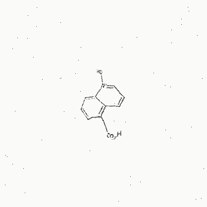 O=C(O)c1cccc2c1ccc[n+]2O